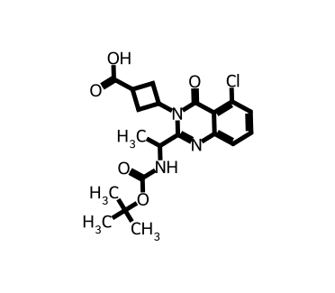 CC(NC(=O)OC(C)(C)C)c1nc2cccc(Cl)c2c(=O)n1C1CC(C(=O)O)C1